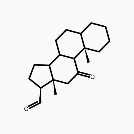 C[C@]12CCCCC1CCC1C2C(=O)C[C@@]2(C)C1CC[C@@H]2C=O